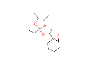 CCO[Si](CC)(OCC)OC(C)C12CCCCC1O2